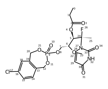 CCC(=O)O[C@H]([C@@H](COP1(=O)OCc2ccc(Cl)cc2CO1)OC)[C@@](C)(F)n1ccc(=O)[nH]c1=O